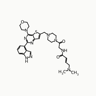 CN(C)C/C=C/C(=O)NCC(=O)N1CCN(Cc2cc3nc(-c4cccc5[nH]ncc45)nc(N4CCOCC4)c3s2)CC1